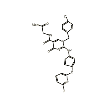 CNC(=O)CNC(=O)c1cn(Cc2ccc(Cl)cc2)c(Nc2ccc(Oc3cccc(F)n3)cc2)nc1=O